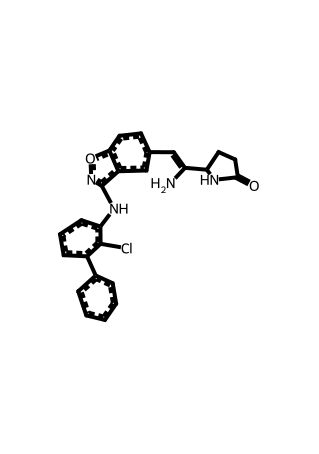 NC(=Cc1ccc2onc(Nc3cccc(-c4ccccc4)c3Cl)c2c1)C1CCC(=O)N1